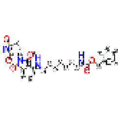 O=C1CCC(N2C(=O)c3cccc(NCCCCCCCNC(=O)OCc4ccccc4)c3C2=O)C(=O)N1